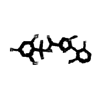 Cn1cc(C(=O)NS(=O)(=O)c2c(Cl)cc(Cl)cc2Cl)nc1-c1c(F)cccc1F